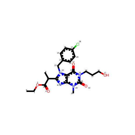 CCOC(=O)C(C)c1nc2c(c(=O)n(CCCO)c(=O)n2C)n1Cc1ccc(Cl)cc1